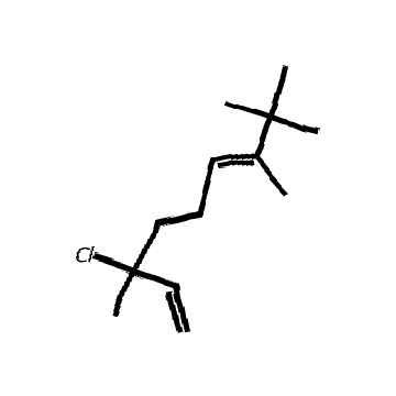 C=CC(C)(Cl)CC/C=C(\C)C(C)(C)C